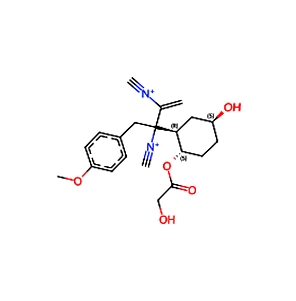 C#[N+]C(=C)C(Cc1ccc(OC)cc1)([N+]#C)[C@H]1C[C@@H](O)CC[C@@H]1OC(=O)CO